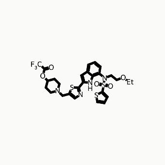 CCOCCN(c1cccc2cc(-c3ncc(CN4CCC(OC(=O)C(F)(F)F)CC4)s3)[nH]c12)S(=O)(=O)c1cccs1